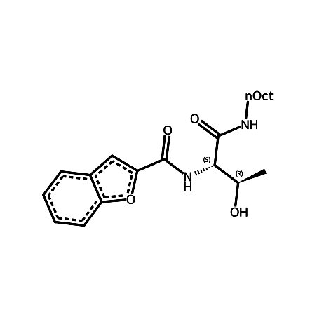 CCCCCCCCNC(=O)[C@@H](NC(=O)c1cc2ccccc2o1)[C@@H](C)O